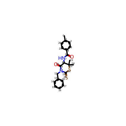 Cc1ccc(C(=O)NC2C(=O)N(Cc3ccccc3)C(=S)SC2(C)C)cc1